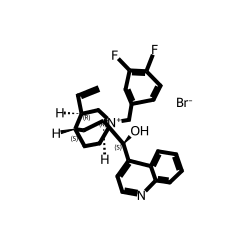 C=C[C@H]1C[N+]2(Cc3ccc(F)c(F)c3)CC[C@H]1C[C@@H]2[C@@H](O)c1ccnc2ccccc12.[Br-]